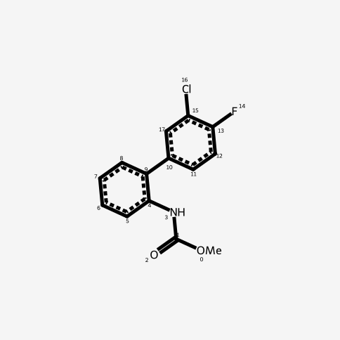 COC(=O)Nc1ccccc1-c1ccc(F)c(Cl)c1